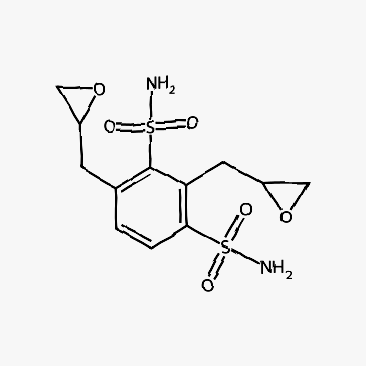 NS(=O)(=O)c1ccc(CC2CO2)c(S(N)(=O)=O)c1CC1CO1